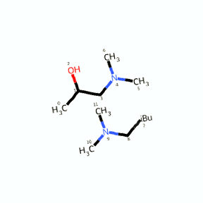 CC(O)CN(C)C.CCC(C)CN(C)C